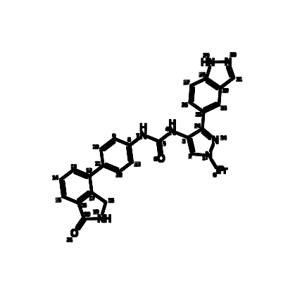 CC(C)n1cc(NC(=O)Nc2ccc(-c3cccc4c3CNC4=O)cc2)c(-c2ccc3[nH]ncc3c2)n1